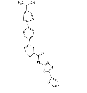 CC(C)c1ccc(-c2ccc(-c3cccc(C(=O)Nc4nnc(-c5ccco5)o4)c3)cc2)cc1